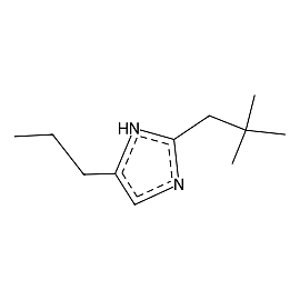 CCCc1cnc(CC(C)(C)C)[nH]1